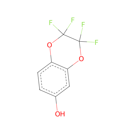 Oc1ccc2c(c1)OC(F)(F)C(F)(F)O2